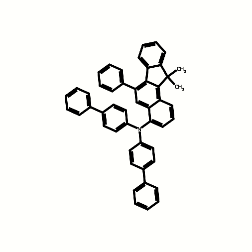 CC1(C)c2ccccc2-c2c(-c3ccccc3)cc3c(N(c4ccc(-c5ccccc5)cc4)c4ccc(-c5ccccc5)cc4)cccc3c21